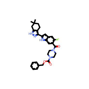 CC1(C)CCc2c(-c3cc4cc(F)c(C(=O)N5CCN(C(=O)OCc6ccccc6)CC5)cc4[nH]3)n[nH]c2C1